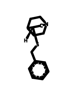 c1ccc(CS[C@H]2CN3CCC2CC3)cc1